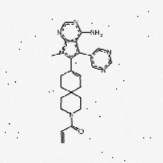 C=CC(=O)N1CCC2(CC=C(c3c(-c4cncnc4)c4c(N)ncnc4n3C)CC2)CC1